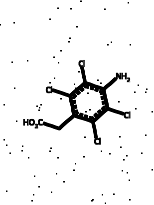 Nc1c(Cl)c(Cl)c(CC(=O)O)c(Cl)c1Cl